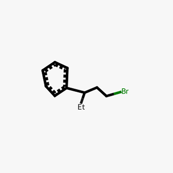 CCC(CCBr)c1ccccc1